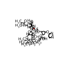 CC(C)C(=O)Nc1nc2c(nnn2[C@@H]2O[C@@H]3CO[Si](C(C)C)(C(C)C)O[Si](C(C)C)(C(C)C)O[C@H]3[C@@H]2OP(=S)(OCCC#N)OC[C@H]2C[C@@H](Oc3ccncn3)C[C@@H]2O[PH](=O)O)c(=O)[nH]1